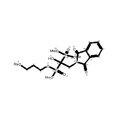 COCCCOP(=O)(OC)C(O)(CN1C(=O)c2ccccc2C1=O)P(=O)(OC)OC